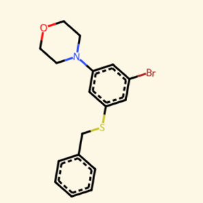 Brc1cc(SCc2ccccc2)cc(N2CCOCC2)c1